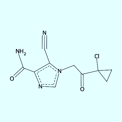 N#Cc1c(C(N)=O)ncn1CC(=O)C1(Cl)CC1